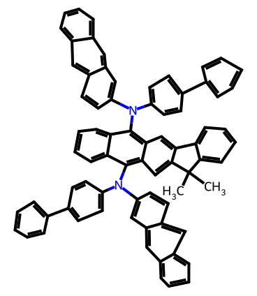 CC1(C)c2ccccc2-c2cc3c(N(c4ccc(-c5ccccc5)cc4)c4ccc5cc6ccccc6cc5c4)c4ccccc4c(N(c4ccc(-c5ccccc5)cc4)c4ccc5cc6ccccc6cc5c4)c3cc21